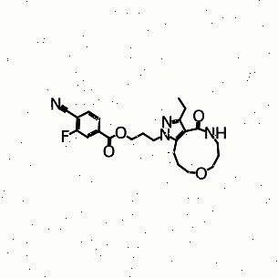 CCc1nn(CCCOC(=O)c2ccc(C#N)c(F)c2)c2c1C(=O)NCCCOCCC2